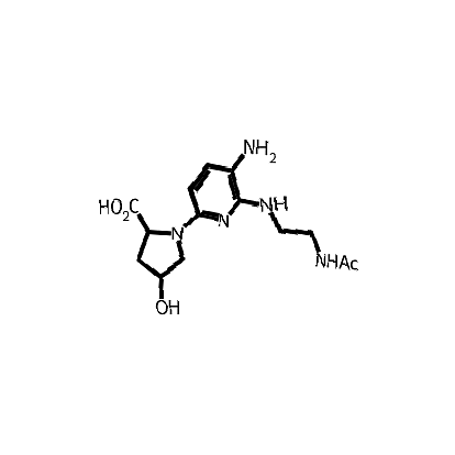 CC(=O)NCCNc1nc(N2CC(O)CC2C(=O)O)ccc1N